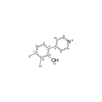 Cc1ccc(-c2ccncc2)c(O)c1C